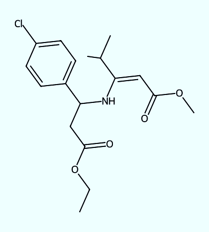 CCOC(=O)CC(N/C(=C\C(=O)OC)C(C)C)c1ccc(Cl)cc1